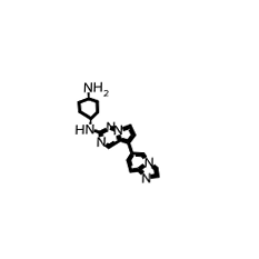 N[C@H]1CC[C@@H](Nc2ncc3c(-c4ccc5nccn5c4)ccn3n2)CC1